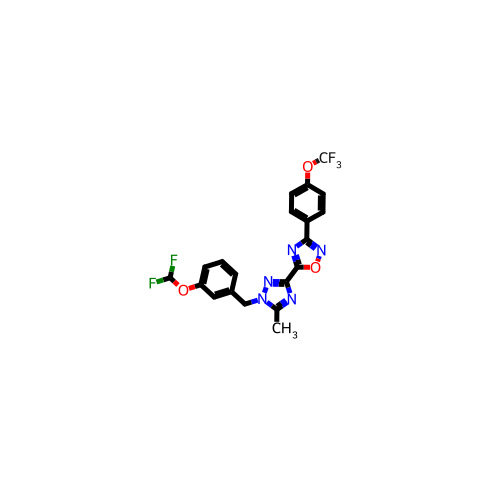 Cc1nc(-c2nc(-c3ccc(OC(F)(F)F)cc3)no2)nn1Cc1cccc(OC(F)F)c1